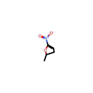 C[C]1CC=C([N+](=O)[O-])O1